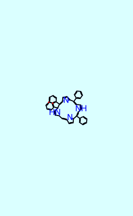 C1=CC2=NC1=CC1C=CC(c3ccccc3)(N1)C(c1ccccc1)=C1C=CC(=N1)C(c1ccccc1)=c1ccc([nH]1)=C2c1ccccc1